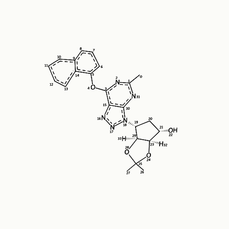 Cc1nc(Oc2cccc3ccccc23)c2nnn([C@@H]3C[C@H](O)[C@H]4OC(C)(C)O[C@H]43)c2n1